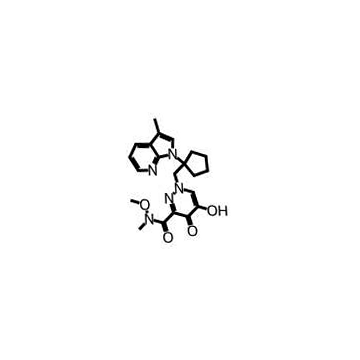 CON(C)C(=O)c1nn(CC2(n3cc(C)c4cccnc43)CCCC2)cc(O)c1=O